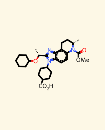 COC(=O)N1c2ccc3c(nc([C@@H](C)OC4CCCCC4)n3C3CCC(C(=O)O)CC3)c2CC[C@@H]1C